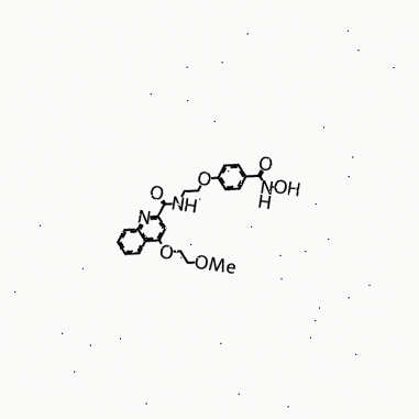 COCCOc1cc(C(=O)NCCOc2ccc(C(=O)NO)cc2)nc2ccccc12